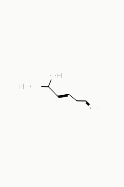 C=CCC=CC(O)C(=O)O